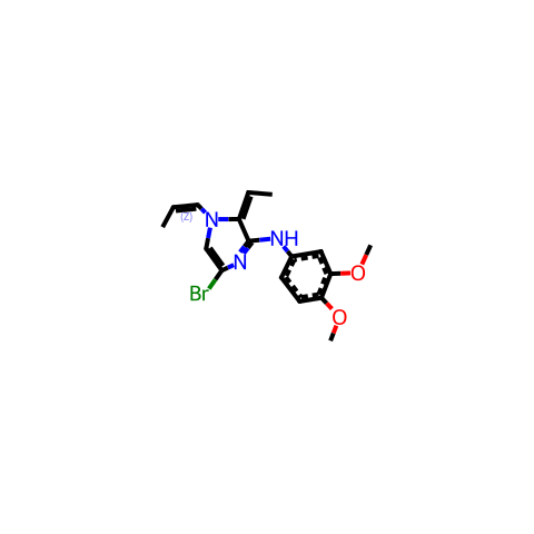 CC=C1C(Nc2ccc(OC)c(OC)c2)=NC(Br)=CN1/C=C\C